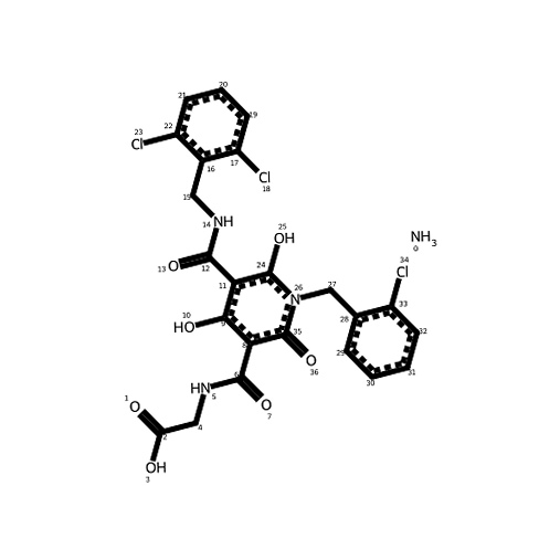 N.O=C(O)CNC(=O)c1c(O)c(C(=O)NCc2c(Cl)cccc2Cl)c(O)n(Cc2ccccc2Cl)c1=O